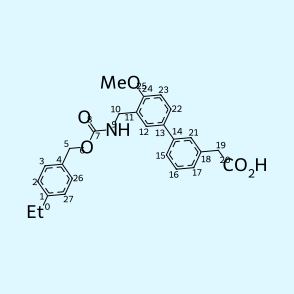 CCc1ccc(COC(=O)NCc2cc(-c3cccc(CC(=O)O)c3)ccc2OC)cc1